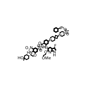 COCCOc1nc2[nH]cc(F)c2cc1Oc1cc(N2CCC3(CC2)CC(N2CCN(S(C)(=O)=O)C[C@H]2c2ccccc2C(C)C)C3)ccc1C(=O)NS(=O)(=O)c1cc2c(c([N+](=O)[O-])c1)N[C@@H](C1CCC(C)(O)CC1)CO2